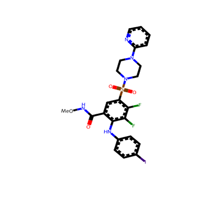 CONC(=O)c1cc(S(=O)(=O)N2CCN(c3ccccn3)CC2)c(F)c(F)c1Nc1ccc(I)cc1